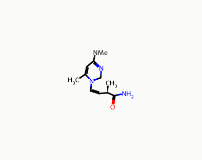 CNC1=NCN(/C=C\[C@@H](C)C(N)=O)C(C)=C1